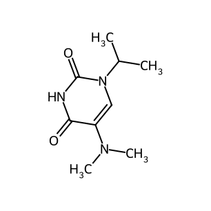 CC(C)n1cc(N(C)C)c(=O)[nH]c1=O